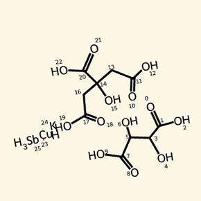 O=C(O)C(O)C(O)C(=O)O.O=C(O)CC(O)(CC(=O)O)C(=O)O.[Cu].[KH].[SbH3]